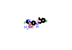 C=Cc1ccc(F)cc1CC(=O)Nc1ccc(-n2cc(F)cn2)c(S(N)(=O)=O)c1